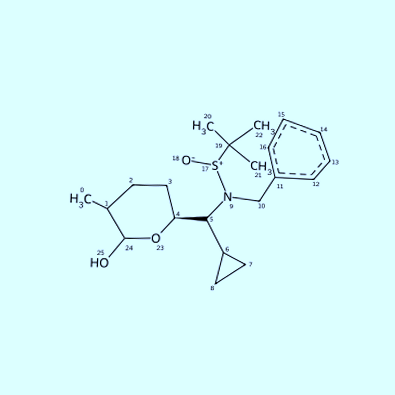 CC1CC[C@@H](C(C2CC2)N(Cc2ccccc2)[S+]([O-])C(C)(C)C)OC1O